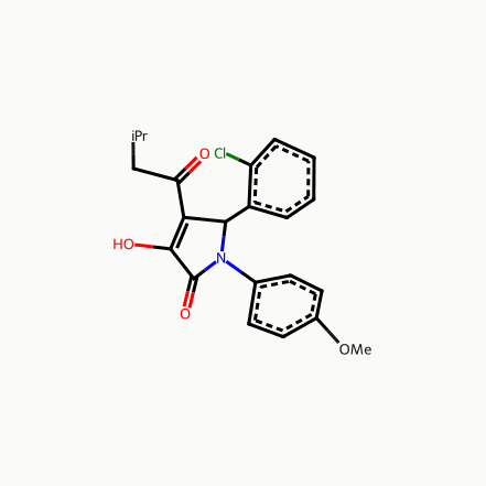 COc1ccc(N2C(=O)C(O)=C(C(=O)CC(C)C)C2c2ccccc2Cl)cc1